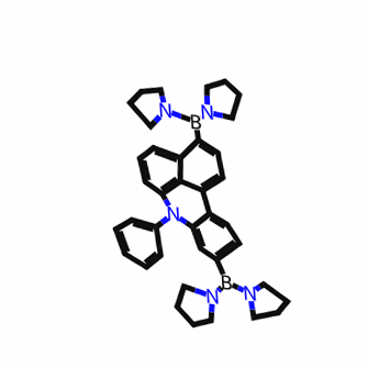 c1ccc(N2c3cc(B(N4CCCC4)N4CCCC4)ccc3-c3ccc(B(N4CCCC4)N4CCCC4)c4cccc2c34)cc1